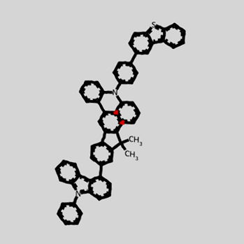 CC1(C)c2ccc(-c3ccccc3N(c3ccccc3)c3ccc(-c4ccc5sc6ccccc6c5c4)cc3)cc2-c2ccc(-c3cccc4c3c3ccccc3n4-c3ccccc3)cc21